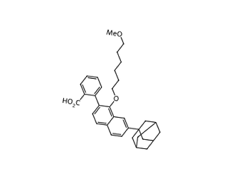 COCCCCCCOc1c(-c2ccccc2C(=O)O)ccc2ccc(C34CC5CC(CC(C5)C3)C4)cc12